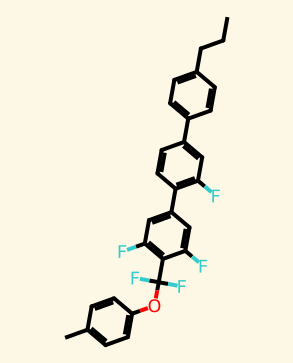 CCCc1ccc(-c2ccc(-c3cc(F)c(C(F)(F)Oc4ccc(C)cc4)c(F)c3)c(F)c2)cc1